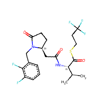 CC(C)[C@H](NC(=O)C[C@@H]1CCC(=O)N1Cc1cccc(F)c1F)C(=O)SCCC(F)(F)F